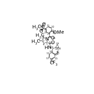 C=C1[C@H](C)C[C@H](C(=O)N[C@@H](c2ccc(C(F)(F)F)cc2F)C2CC2)N1C(=O)c1cc(S(C)(=O)=O)ccc1OC